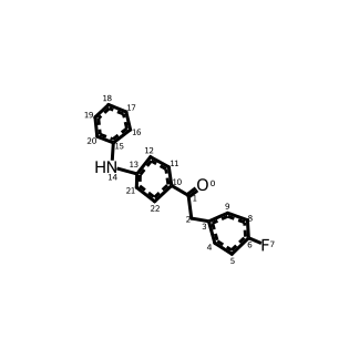 O=C(Cc1ccc(F)cc1)c1ccc(Nc2ccccc2)cc1